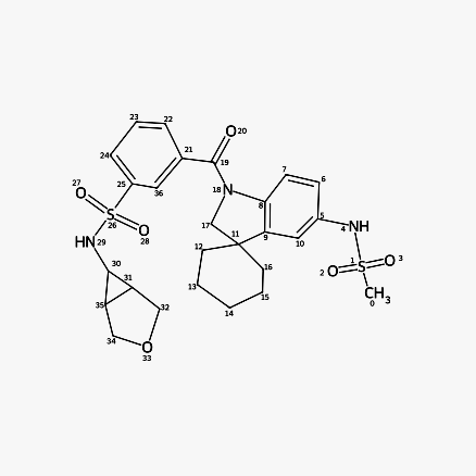 CS(=O)(=O)Nc1ccc2c(c1)C1(CCCCC1)CN2C(=O)c1cccc(S(=O)(=O)NC2C3COCC32)c1